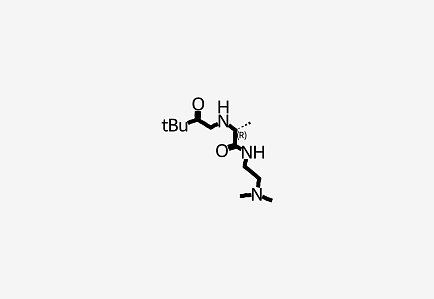 C[C@@H](NCC(=O)C(C)(C)C)C(=O)NCCN(C)C